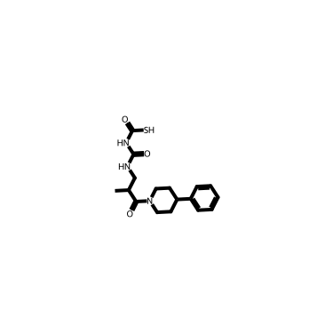 CC(CNC(=O)NC(=O)S)C(=O)N1CCC(c2ccccc2)CC1